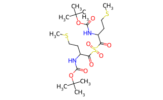 CSCCC(NC(=O)OC(C)(C)C)C(=O)S(=O)(=O)C(=O)C(CCSC)NC(=O)OC(C)(C)C